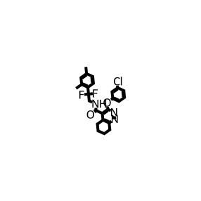 Cc1ccc(C(F)(F)CNC(=O)c2c(Oc3cccc(Cl)c3)nnc3c2CCCC3)c(C)c1